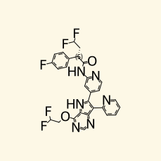 O=C(Nc1cc(-c2[nH]c3c(OCC(F)F)ncnc3c2-c2ccccn2)ccn1)[C@@H](CC(F)F)c1ccc(F)cc1